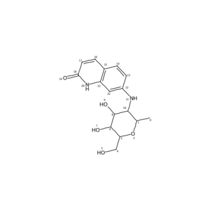 CC1OC(CO)C(O)C(O)C1Nc1ccc2ccc(=O)[nH]c2c1